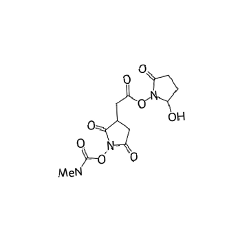 CNC(=O)ON1C(=O)CC(CC(=O)ON2C(=O)CCC2O)C1=O